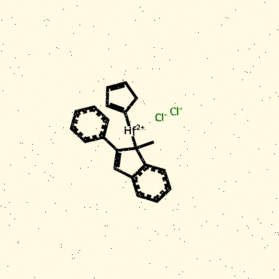 C[C]1([Hf+2][C]2=CC=CC2)C(c2ccccc2)=Cc2ccccc21.[Cl-].[Cl-]